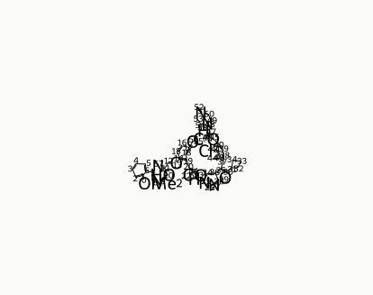 COc1ccccc1-c1nccc(COc2ccc3cc2C[C@H](C(=O)O)Oc2ncnc4oc(C5CCC5)c(c24)-c2ccc(c(Cl)c2C)O[C@H](CN2CCN(C)CC2)CO3)n1